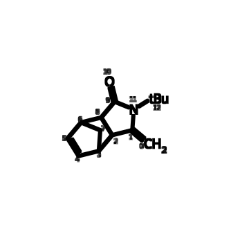 C=C1C2C3C=CC(C3)C2C(=O)N1C(C)(C)C